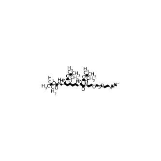 CC(C)(C)OC(=O)NC[C@@H](CCCCC[C@H](NC(=O)OC(C)(C)C)C(=O)NCCOCSOCCN=[N+]=[N-])NC(=O)OC(C)(C)C